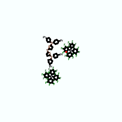 CC(C)c1ccc([S+](c2ccc(C(C)C)cc2)c2ccc(Sc3ccc([S+](c4ccc(C(C)C)cc4)c4ccc(C(C)C)cc4)s3)s2)cc1.Fc1c(F)c(F)c([B-](c2c(F)c(F)c(F)c(F)c2F)(c2c(F)c(F)c(F)c(F)c2F)c2c(F)c(F)c(F)c(F)c2F)c(F)c1F.Fc1c(F)c(F)c([B-](c2c(F)c(F)c(F)c(F)c2F)(c2c(F)c(F)c(F)c(F)c2F)c2c(F)c(F)c(F)c(F)c2F)c(F)c1F